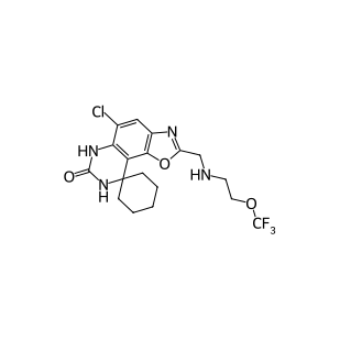 O=C1Nc2c(Cl)cc3nc(CNCCOC(F)(F)F)oc3c2C2(CCCCC2)N1